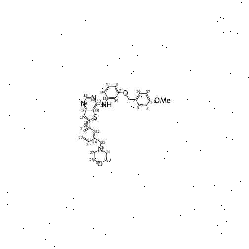 COc1ccc(COc2cccc(Nc3ncnc4cc(-c5cccc(CN6CCOCC6)c5)sc34)c2)cc1